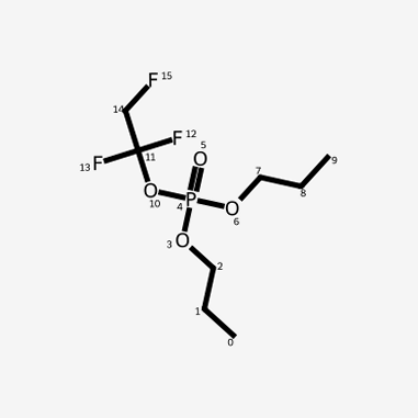 CCCOP(=O)(OCCC)OC(F)(F)CF